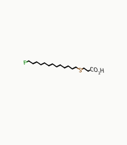 O=C(O)CCSCCCCCCCCCCCCCF